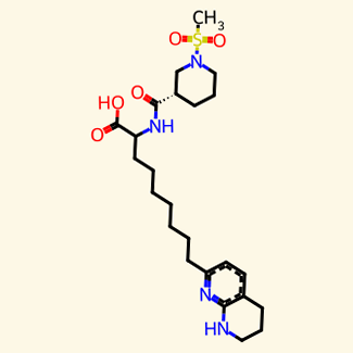 CS(=O)(=O)N1CCC[C@H](C(=O)NC(CCCCCCCc2ccc3c(n2)NCCC3)C(=O)O)C1